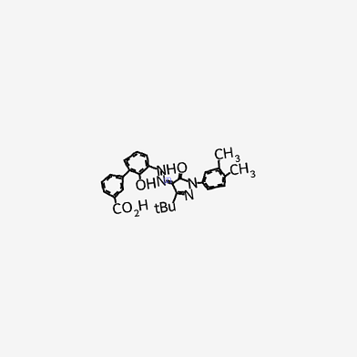 Cc1ccc(N2N=C(C(C)(C)C)/C(=N/Nc3cccc(-c4cccc(C(=O)O)c4)c3O)C2=O)cc1C